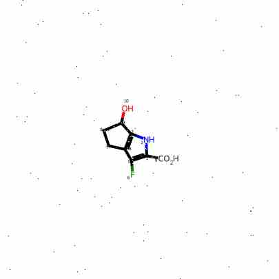 O=C(O)c1[nH]c2c(c1F)CCC2O